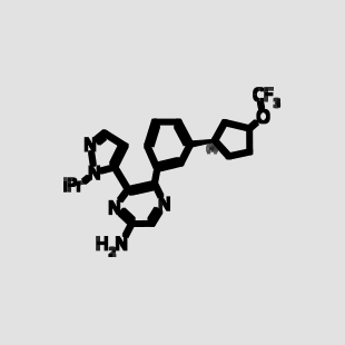 CC(C)n1nccc1-c1nc(N)cnc1-c1cccc([C@@H]2CCC(OC(F)(F)F)C2)c1